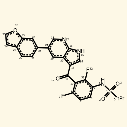 CCCS(=O)(=O)Nc1ccc(F)c(C(=O)c2c[nH]c3ncc(-c4ccc5ccoc5c4)cc23)c1F